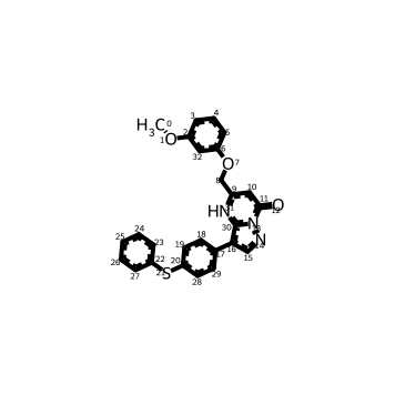 COc1cccc(OCc2cc(=O)n3ncc(-c4ccc(Sc5ccccc5)cc4)c3[nH]2)c1